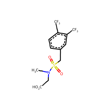 CN(CC(=O)O)S(=O)(=O)Cc1ccc(C(F)(F)F)c(C(F)(F)F)c1